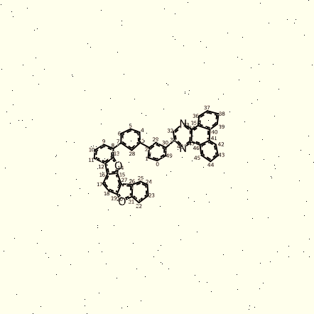 c1cc(-c2cccc(-c3cccc4c3oc3c4ccc4oc5ccccc5c43)c2)cc(-c2cnc3c4ccccc4c4ccccc4c3n2)c1